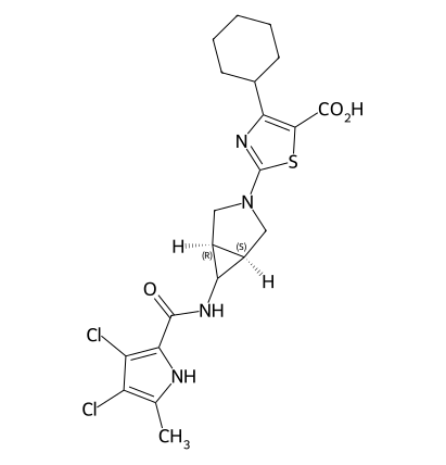 Cc1[nH]c(C(=O)NC2[C@H]3CN(c4nc(C5CCCCC5)c(C(=O)O)s4)C[C@@H]23)c(Cl)c1Cl